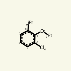 CCOc1c(Cl)cccc1C(C)C